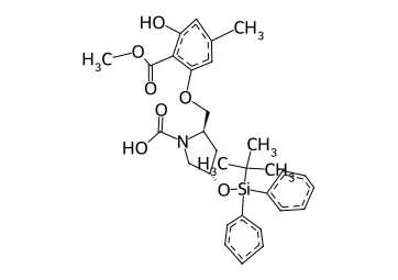 COC(=O)c1c(O)cc(C)cc1OC[C@H]1C[C@H](O[Si](c2ccccc2)(c2ccccc2)C(C)(C)C)CN1C(=O)O